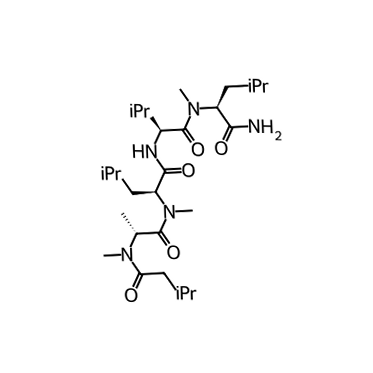 CC(C)CC(=O)N(C)[C@H](C)C(=O)N(C)[C@@H](CC(C)C)C(=O)N[C@H](C(=O)N(C)[C@@H](CC(C)C)C(N)=O)C(C)C